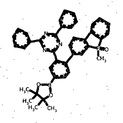 CC1(C)OB(c2ccc(-c3ccc4c(c3)P(C)(=O)c3ccccc3-4)c(-c3nc(-c4ccccc4)nc(-c4ccccc4)n3)c2)OC1(C)C